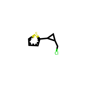 ClCC1CC1c1cccs1